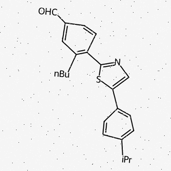 CCCCc1cc(C=O)ccc1-c1ncc(-c2ccc(C(C)C)cc2)s1